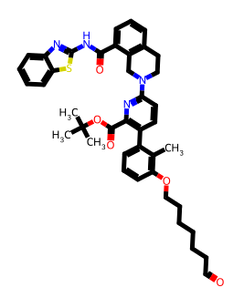 Cc1c(OCCCCCCC=O)cccc1-c1ccc(N2CCc3cccc(C(=O)Nc4nc5ccccc5s4)c3C2)nc1C(=O)OC(C)(C)C